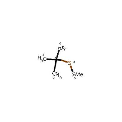 [CH2]CCC(C)(C)SSC